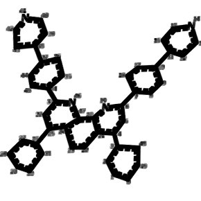 c1ccc(-c2cc(-c3ccc(-c4ccncc4)cc3)nc3c2ccc2c(-c4ccccc4)cc(-c4ccc(-c5ccncc5)cc4)nc23)cc1